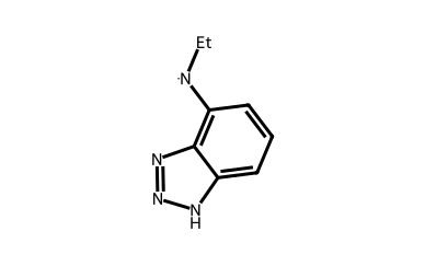 CC[N]c1cccc2[nH]nnc12